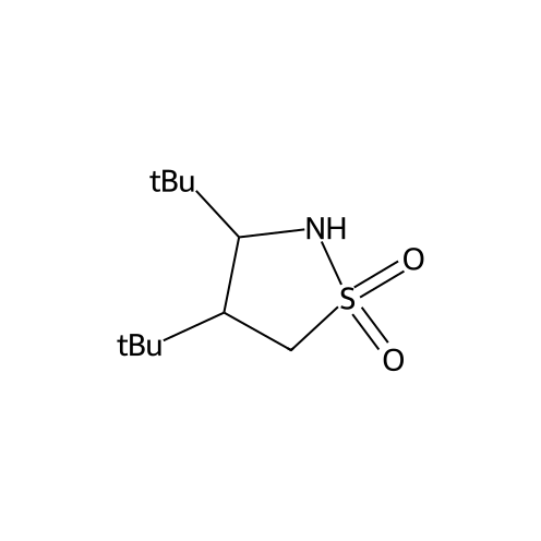 CC(C)(C)C1CS(=O)(=O)NC1C(C)(C)C